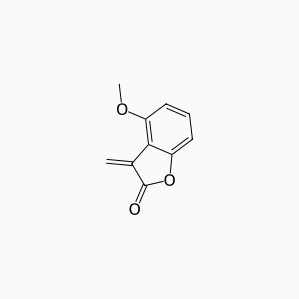 C=C1C(=O)Oc2cccc(OC)c21